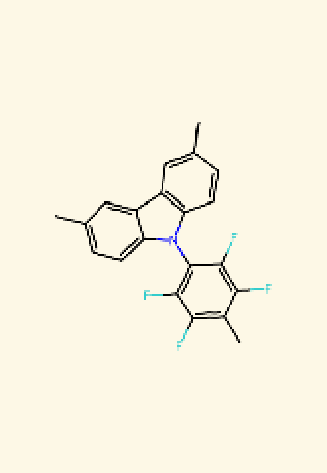 Cc1ccc2c(c1)c1cc(C)ccc1n2-c1c(F)c(F)c(C)c(F)c1F